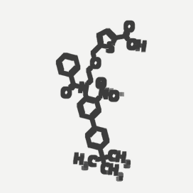 CC(C)(C)c1ccc(-c2ccc(N(CCOCc3ccc(C(=O)O)s3)C(=O)c3ccccc3)c([N+](=O)[O-])c2)cc1